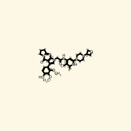 COc1c(O)ccc(-c2cn(CC(=O)NC3=C(Cl)C(F)NC(N4CCN(C5COC5)CC4)=C3)c3nc4n(c(=O)c23)CCC4)c1OC